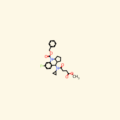 COC(=O)CCC(=O)N(C1CC1)C1c2ccc(F)cc2N(C(=O)OCc2ccccc2)C2CCCC21